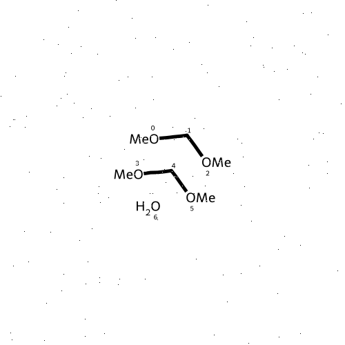 COCOC.COCOC.O